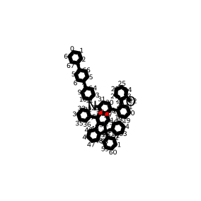 c1ccc(-c2ccc(-c3ccc(N(c4ccc(-c5cccc6oc7ccccc7c56)cc4)c4ccccc4-c4cccc5c4-c4ccccc4C5(c4ccccc4)c4ccccc4)cc3)cc2)cc1